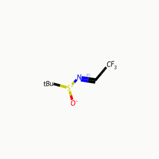 CC(C)(C)[S+]([O-])/N=C/C(F)(F)F